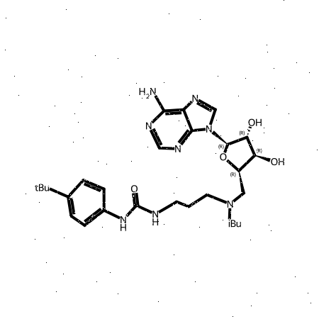 CCC(C)N(CCCNC(=O)Nc1ccc(C(C)(C)C)cc1)C[C@H]1O[C@@H](n2cnc3c(N)ncnc32)[C@H](O)[C@H]1O